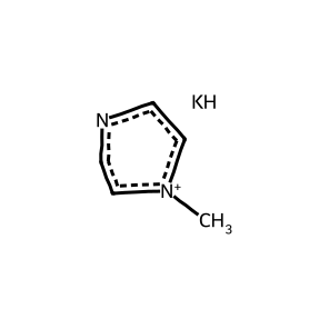 C[n+]1ccncc1.[KH]